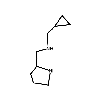 C1CNC(CNCC2CC2)C1